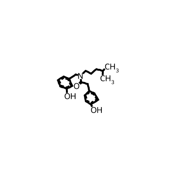 CC(C)CCCN(Cc1cccc(O)c1)C(=O)Cc1ccc(O)cc1